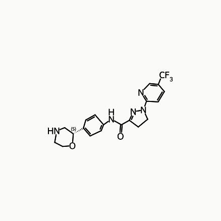 O=C(Nc1ccc([C@H]2CNCCO2)cc1)C1=NN(c2ccc(C(F)(F)F)cn2)CC1